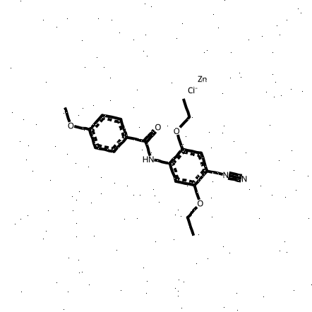 CCOc1cc(NC(=O)c2ccc(OC)cc2)c(OCC)cc1[N+]#N.[Cl-].[Zn]